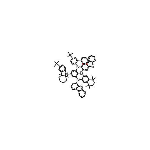 CC(C)(C)c1ccc(N2c3cc4c(cc3B3c5cc6c(cc5N(c5cccc7c5sc5ccccc57)c5cc(N7c8ccc(C(C)(C)C)cc8C8(C)CCCCC78C)cc2c53)C(C)(C)CCC6(C)C)sc2ccccc24)c(-c2ccccc2)c1